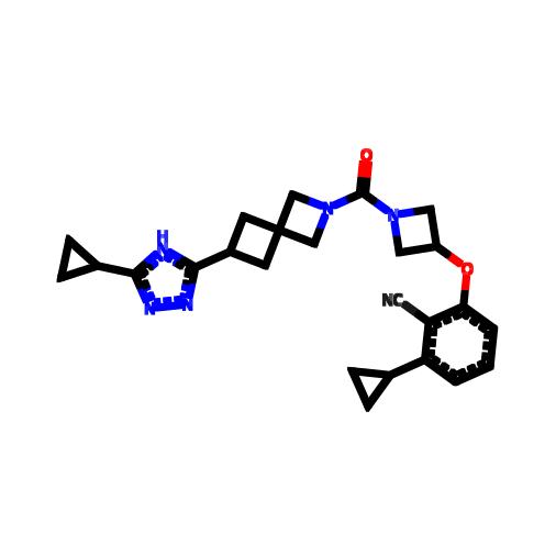 N#Cc1c(OC2CN(C(=O)N3CC4(CC(c5nnc(C6CC6)[nH]5)C4)C3)C2)cccc1C1CC1